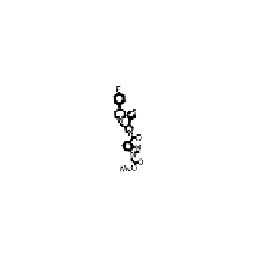 COC(=O)Cn1cnc2c(C(=O)N3CC(CN4CCC(c5ccc(F)cc5)CC4)C(c4ccsc4)C3)cccc21